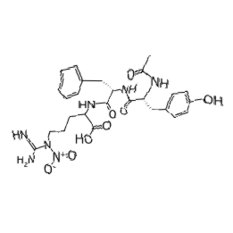 CC(=O)N[C@H](Cc1ccc(O)cc1)C(=O)N[C@@H](Cc1ccccc1)C(=O)NC(CCCN(C(=N)N)[N+](=O)[O-])C(=O)O